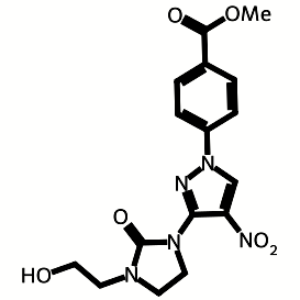 COC(=O)c1ccc(-n2cc([N+](=O)[O-])c(N3CCN(CCO)C3=O)n2)cc1